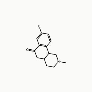 CN1CCC2CC(=O)c3cc(F)ccc3C2C1